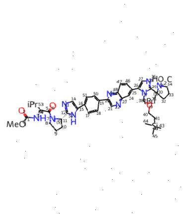 COC(=O)N[C@H](C(=O)N1CCC[C@H]1c1ncc(-c2ccc(-c3cnc4cc(-c5cnc([C@@]6(C(C)(C)C)CCCN6C(=O)O)n5COCC[Si](C)(C)C)ccc4n3)cc2)[nH]1)C(C)C